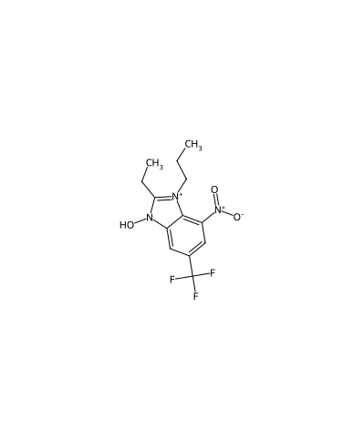 CCC[n+]1c(CC)n(O)c2cc(C(F)(F)F)cc([N+](=O)[O-])c21